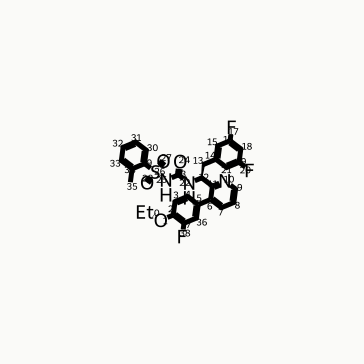 CCOc1ccc(-c2cccnc2[C@H](Cc2cc(F)cc(F)c2)NC(=O)NS(=O)(=O)c2ccccc2C)cc1F